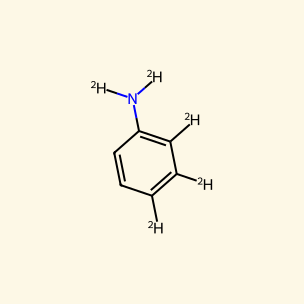 [2H]c1ccc(N([2H])[2H])c([2H])c1[2H]